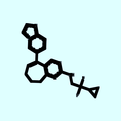 FC(F)(CNc1ncc2c(n1)CCCC=C2c1ccc2nccn2c1)C1CC1